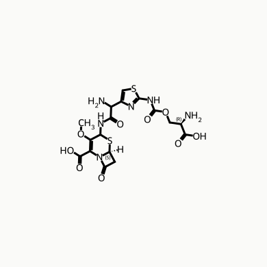 COC1=C(C(=O)O)N2C(=O)C[C@@H]2SC1NC(=O)C(N)c1csc(NC(=O)OC[C@@H](N)C(=O)O)n1